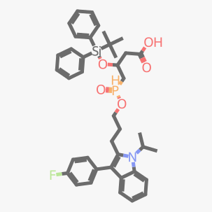 CC(C)n1c(CCCO[PH](=O)CC(CC(=O)O)O[Si](c2ccccc2)(c2ccccc2)C(C)(C)C)c(-c2ccc(F)cc2)c2ccccc21